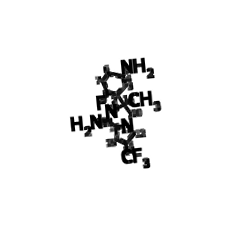 CC1(c2cc(N)ccc2F)Cn2cc(C(F)(F)F)cc2C(N)=N1